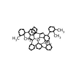 Cc1cccc(-c2cccc3c2C=C(c2ccccc2)[CH]3[Zr]([c]2cccc3c2[SiH2]c2ccccc2-3)[CH]2C(c3ccccc3)=Cc3c(-c4cccc(C)c4C)cccc32)c1C